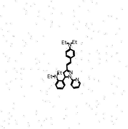 CCN(CC)c1ccc(C=CC2=NN(c3ccccn3)C(c3ccccc3N(CC)CC)C2)cc1